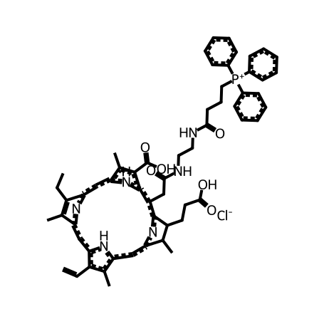 C=Cc1c(C)c2cc3nc(c(CC(=O)NCCNC(=O)CCC[P+](c4ccccc4)(c4ccccc4)c4ccccc4)c4[nH]c(cc5nc(cc1[nH]2)C(C)=C5CC)c(C)c4C(=O)O)C(CCC(=O)O)C3C.[Cl-]